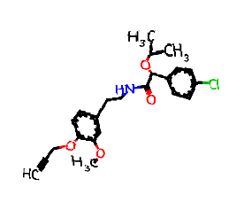 C#CCOc1ccc(CCNC(=O)C(OC(C)C)c2ccc(Cl)cc2)cc1OC